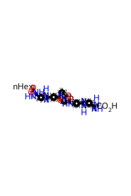 CCCCCCOC(=O)NC(=N)c1ccc2nc(-c3ccc(C(=O)N4CCC[C@H]4C(=O)N4CCC[C@H]4C(=O)Nc4ccc(-c5nc6ccc(C(=N)NC(=O)O)cc6[nH]5)cc4)cc3)[nH]c2c1